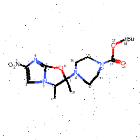 CC1n2cc([N+](=O)[O-])nc2OC1(C)N1CCN(C(=O)OC(C)(C)C)CC1